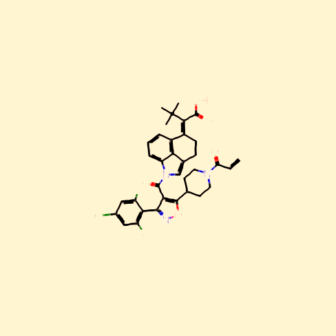 C=CC(=O)N1CCC(c2onc(-c3c(Cl)cc(Cl)cc3Cl)c2C(=O)n2cc3c4c(cccc42)/C(=C(/C(=O)O)C(C)(C)C)CC3)CC1